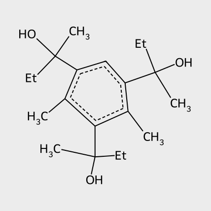 CCC(C)(O)c1cc(C(C)(O)CC)c(C)c(C(C)(O)CC)c1C